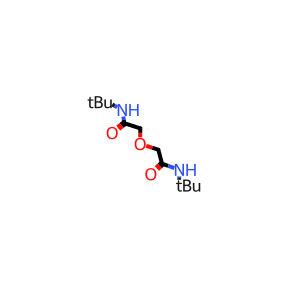 CC(C)(C)NC(=O)COCC(=O)NC(C)(C)C